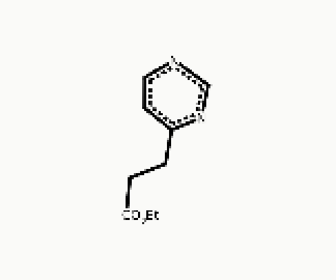 CCOC(=O)CCc1ccn[c]n1